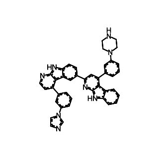 c1cc(-c2cc(-c3ccc4[nH]c5nccc(-c6cccc(-n7ccnc7)c6)c5c4c3)nc3[nH]c4ccccc4c23)cc(N2CCNCC2)c1